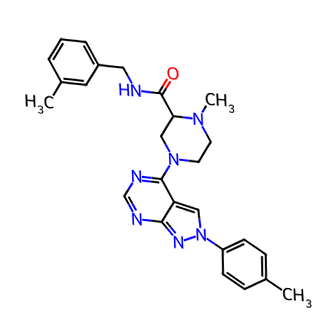 Cc1ccc(-n2cc3c(N4CCN(C)C(C(=O)NCc5cccc(C)c5)C4)ncnc3n2)cc1